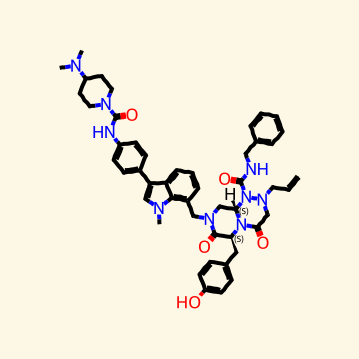 C=CCN1CC(=O)N2[C@@H](Cc3ccc(O)cc3)C(=O)N(Cc3cccc4c(-c5ccc(NC(=O)N6CCC(N(C)C)CC6)cc5)cn(C)c34)C[C@@H]2N1C(=O)NCc1ccccc1